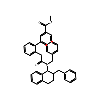 COC(=O)c1cccc(-c2ccccc2CC(=O)N(Cc2ccccc2)C2c3ccccc3CCC2Cc2ccccc2)c1